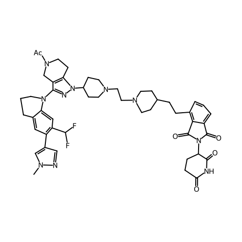 CC(=O)N1CCc2c(c(N3CCCc4cc(-c5cnn(C)c5)c(C(F)F)cc43)nn2C2CCN(CCN3CCC(CCc4cccc5c4C(=O)N(C4CCC(=O)NC4=O)C5=O)CC3)CC2)C1